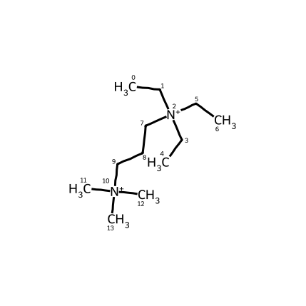 CC[N+](CC)(CC)CCC[N+](C)(C)C